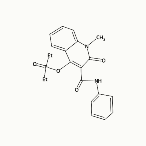 CCP(=O)(CC)Oc1c(C(=O)Nc2ccccc2)c(=O)n(C)c2ccccc12